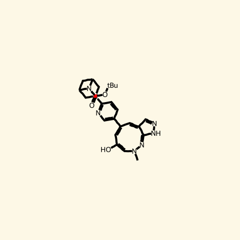 Cn1cc(O)cc(-c2ccc(N3CC4CC(C3)N4C(=O)OC(C)(C)C)nc2)cc2cn[nH]c2n1